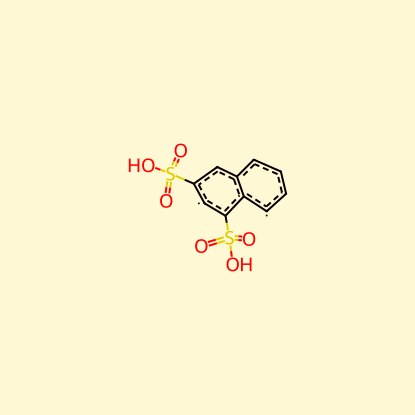 O=S(=O)(O)c1[c]c(S(=O)(=O)O)c2[c]cccc2c1